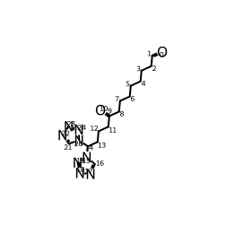 O=CCCCCCCCC(=O)CCCC(n1cnnn1)n1cnnn1